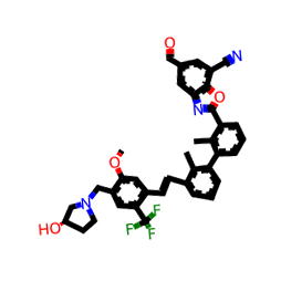 COc1cc(/C=C/c2cccc(-c3cccc(-c4nc5cc(C=O)cc(C#N)c5o4)c3C)c2C)c(C(F)(F)F)cc1CN1CC[C@@H](O)C1